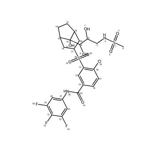 CS(=O)(=O)NCC(O)C(O)C1(O)C2CCC1CC(S(=O)(=O)c1cc(C(=O)Nc3cc(F)c(F)c(F)c3)ccc1Cl)C2